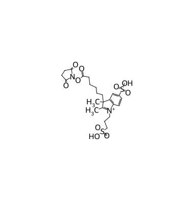 CC1=[N+](CCCS(=O)(=O)O)c2ccc(S(=O)(=O)O)cc2C1(C)CCCCCC(=O)ON1C(=O)CCC1=O